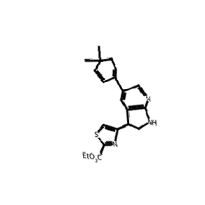 CCOC(=O)c1nc(C2CNc3ncc(C4=CCC(C)(C)C=C4)cc32)cs1